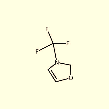 FC(F)(F)N1C=COC1